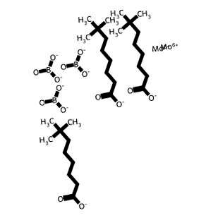 CC(C)(C)CCCCCC(=O)[O-].CC(C)(C)CCCCCC(=O)[O-].CC(C)(C)CCCCCC(=O)[O-].[Mo+6].[Mo+6].[O-]B([O-])[O-].[O-]B([O-])[O-].[O-]B([O-])[O-]